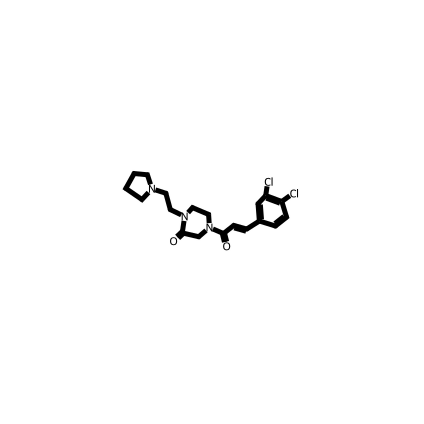 O=C(/C=C/c1ccc(Cl)c(Cl)c1)N1CCN(CCN2CCCC2)C(=O)C1